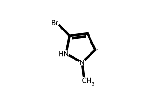 CN1[CH]C=C(Br)N1